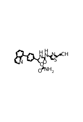 C#Cc1nc(NC(=O)NC(COC(N)=O)c2ccc(-c3cccc4cccnc34)cc2)cs1